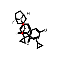 O=C(NC1CC1)c1ccc(N2[C@@H]3CC[C@H]2C[C@@H](NC(=O)C2(c4ccc(Cl)cc4)CC2)C3)cc1